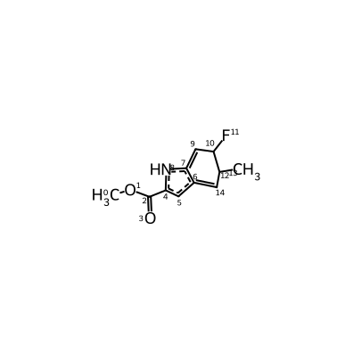 COC(=O)c1cc2c([nH]1)=CC(F)C(C)C=2